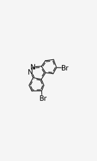 Brc1ccc2nnc3ccc(Br)cc3c2c1